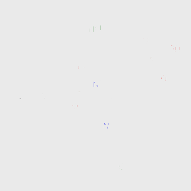 Cl.O=S(=O)(O)c1cn(S(=O)(=O)c2ccccc2)c2nc(Cl)ccc12